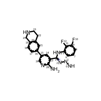 N=N/N=C(\Nc1cccc(F)c1F)c1cc(-c2ccc3c(c2)CCNC3)cnc1N